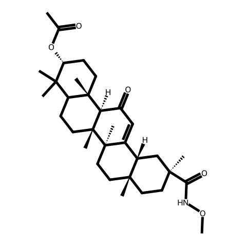 CONC(=O)[C@@]1(C)CC[C@]2(C)CC[C@]3(C)C(=CC(=O)[C@@H]4[C@@]5(C)CC[C@@H](OC(C)=O)C(C)(C)C5CC[C@]43C)[C@@H]2C1